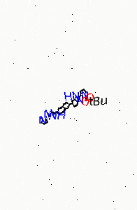 CN1CCC[C@H]1c1ncc(-c2ccc3cc(-c4ccc5nc(C6CCCN6C(=O)OC(C)(C)C)[nH]c5c4)ccc3c2)[nH]1